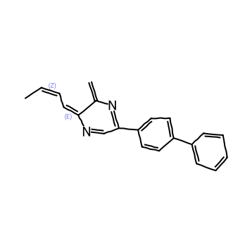 C=c1nc(-c2ccc(-c3ccccc3)cc2)cn/c1=C/C=C\C